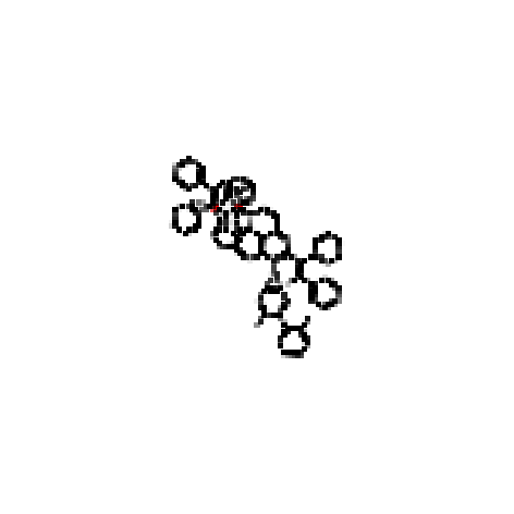 CCn1c2ccccc2c2cc3cc(c21)n3-c1c(/C(=C(\C)c2ccccc2)c2ccccc2)cc2ccc3c(N4c5cc(C)c(-c6ccccc6C)cc54)c(/C(=C(\C)c4ccccc4)c4ccccc4)cc4ccc1c2c43